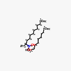 CCCCCCCCCCCCCCCCCC(=O)O.CCCCCCCCCCCCCCCCCCC(C(C)C)N(O)O